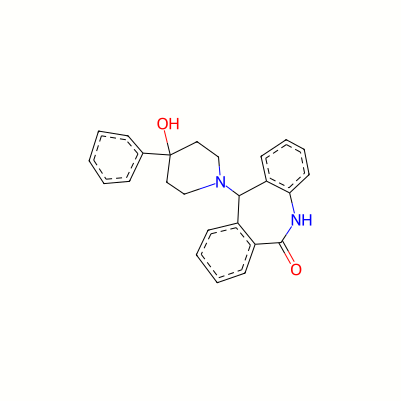 O=C1Nc2ccccc2C(N2CCC(O)(c3ccccc3)CC2)c2ccccc21